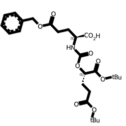 CC(C)(C)OC(=O)CC[C@H](OC(=O)N[C@@H](CCC(=O)OCc1ccccc1)C(=O)O)C(=O)OC(C)(C)C